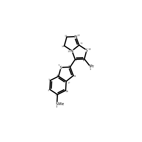 CSc1ccc2sc(C3=C(C(C)C)SC4=NCCN43)cc2c1